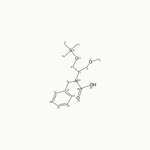 COCC(CO[Si](C)(C)C)N(Cc1ccccc1)C(=O)O